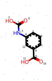 O=C(O)Nc1cccc(C(=O)O)c1